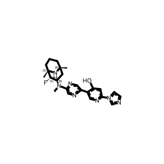 CN(c1cnc(-c2cnc(-n3ccnc3)cc2O)cn1)[C@@H]1C[C@@]2(C)CCC[C@](C)(N2)[C@H]1F